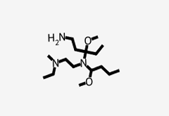 CCCC(OC)N(CCN(C)CC)C(CC)(CCN)OC